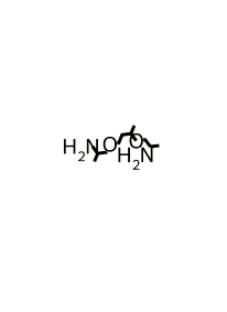 CC(N)COCCC(C)OCC(C)N